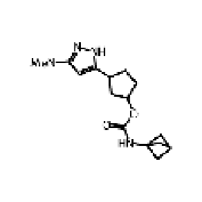 CNc1cc(C2CCC(OC(=O)NC34CC(C3)C4)C2)[nH]n1